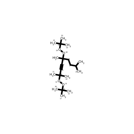 C[C](C)CCC(C)(C#CC(C)(C)OOC(C)(C)C)OOC(C)(C)C